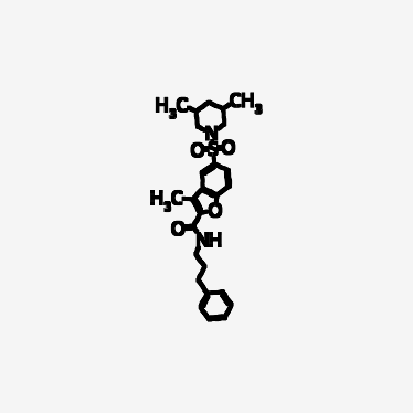 Cc1c(C(=O)NCCCc2ccccc2)oc2ccc(S(=O)(=O)N3CC(C)CC(C)C3)cc12